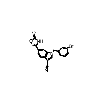 N#Cc1cn(Cc2cccc(Br)c2)c2cc(-c3noc(=O)[nH]3)ccc12